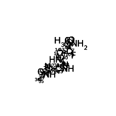 CS(=O)(=O)C(N)c1cc(F)cc(-c2cccc3[nH]c(-c4n[nH]c5ccc(-c6cncc(NC(=O)C7CC7)c6)cc45)cc23)c1